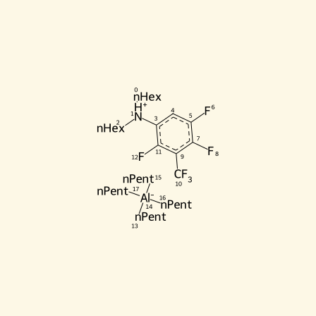 CCCCCC[NH+](CCCCCC)c1cc(F)c(F)c(C(F)(F)F)c1F.CCCC[CH2][Al-]([CH2]CCCC)([CH2]CCCC)[CH2]CCCC